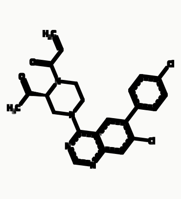 C=CC(=O)N1CCN(c2ncnc3cc(Cl)c(-c4ccc(Cl)cc4)cc23)C[C@H]1C(C)=O